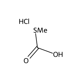 CSC(=O)O.Cl